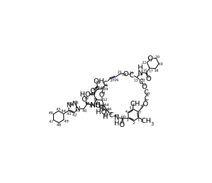 Cc1cc2cc(C)c1OCCOCC(NC(=O)C1CCCOC1)COC/C=C/C[C@]1(C(=O)O)C[C@H](O)C(NC(=O)Cn3cc(C4CCCCC4)nn3)C(O1)[C@H](O)[C@H](O)CNC2=O